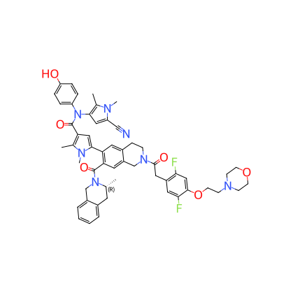 Cc1c(N(C(=O)c2cc(-c3cc4c(cc3C(=O)N3Cc5ccccc5C[C@H]3C)CN(C(=O)Cc3cc(F)c(OCCN5CCOCC5)cc3F)CC4)n(C)c2C)c2ccc(O)cc2)cc(C#N)n1C